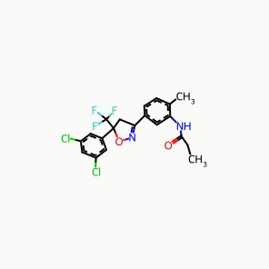 CCC(=O)Nc1cc(C2=NOC(c3cc(Cl)cc(Cl)c3)(C(F)(F)F)C2)ccc1C